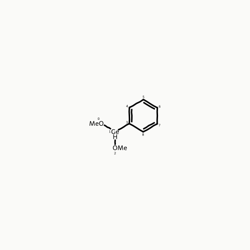 C[O][GeH]([O]C)[c]1ccccc1